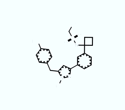 CCn1nc(-c2cccc(C3(NS(=O)(=O)CC(F)(F)F)CCC3)c2)cc1Cc1ccc(C(F)(F)F)cc1